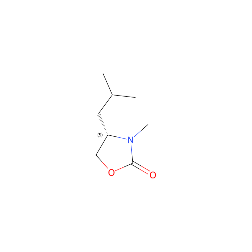 CC(C)C[C@H]1COC(=O)N1C